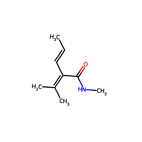 CC=CC(C(=O)NC)=C(C)C